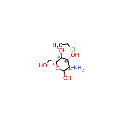 CCCl.N[C@H]1C(O)O[C@H](CO)[C@@H](O)[C@@H]1O